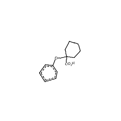 O=C(O)C1(Oc2cc[c]cc2)CCCCC1